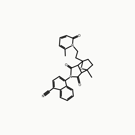 Cc1cccc(=O)n1CCC12CCC(C)(O1)C1C(=O)N(c3ccc(C#N)c4ccccc34)C(=O)C12